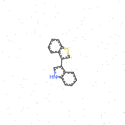 [c]1sc2ccccc2c1-c1c[nH]c2ccccc12